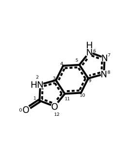 O=c1[nH]c2cc3[nH]nnc3cc2o1